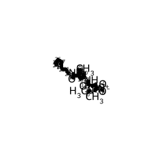 CC(C)n1cc([N+](=O)[O-])cc1C(=O)Nc1cc(C(=O)NCCCN2CCCC2)n(C)c1